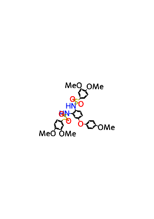 COc1ccc(Oc2ccc(NS(=O)(=O)c3ccc(OC)c(OC)c3)c(NS(=O)(=O)c3ccc(OC)c(OC)c3)c2)cc1